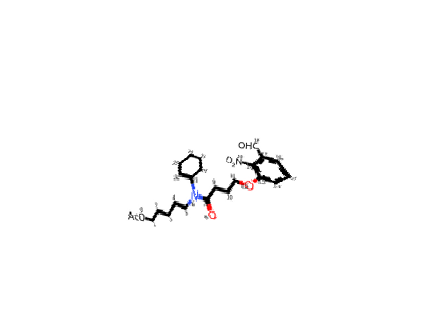 CC(=O)OCCCCCN(C(=O)CCCOc1cccc(C=O)c1[N+](=O)[O-])C1CCCCC1